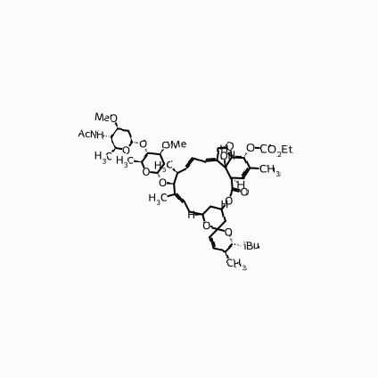 CCOC(=O)O[C@@H]1C(C)=C[C@H]2C(=O)O[C@H]3C[C@@H](C/C=C(\C)[C@@H](O[C@H]4C[C@H](OC)[C@@H](O[C@H]5C[C@H](OC)[C@@H](NC(C)=O)[C@H](C)O5)[C@H](C)O4)[C@@H](C)/C=C/C=C4\CO[C@H]1[C@@]42O)OC1(C=C[C@H](C)[C@@H]([C@@H](C)CC)O1)C3